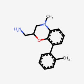 Cc1ccccc1-c1cccc2c1OC(CN)CN2C